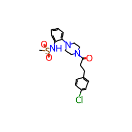 CS(=O)(=O)Nc1ccccc1N1CCN(C(=O)CCc2ccc(Cl)cc2)CC1